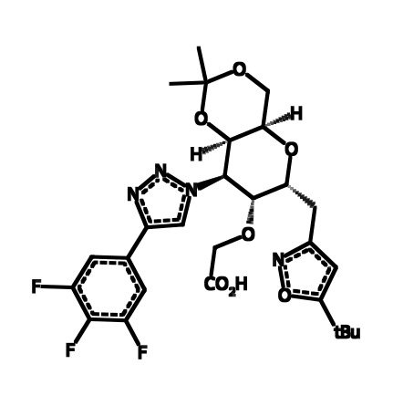 CC1(C)OC[C@H]2O[C@H](Cc3cc(C(C)(C)C)on3)[C@H](OCC(=O)O)[C@@H](n3cc(-c4cc(F)c(F)c(F)c4)nn3)[C@H]2O1